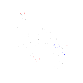 Cc1ccc(N(C)C(=O)NCc2ccc(Cc3c(-c4ccc(O)cc4)ccc4cc(O)ccc34)cc2)cc1